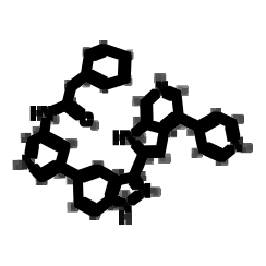 O=C(Cc1ccccc1)Nc1cncc(-c2ccc3[nH]nc(-c4cc5c(-c6ccncc6)cncc5[nH]4)c3c2)c1